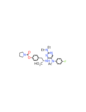 CCN(CC)c1ncc(N(C(C)=O)c2ccc(F)cc2)c(N[C@@H](Cc2ccc(OC(=O)N3CCCC3)cc2)C(=O)O)n1